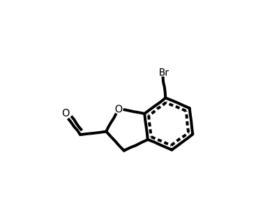 O=CC1Cc2cccc(Br)c2O1